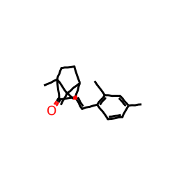 Cc1ccc(C=C2C(=O)C3(C)CCC2C3(C)C)c(C)c1